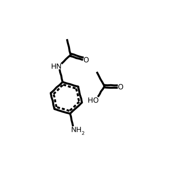 CC(=O)Nc1ccc(N)cc1.CC(=O)O